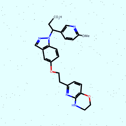 COc1ccc(C(CC(=O)O)n2ncc3cc(OCCc4ccc5c(n4)NCCO5)ccc32)cn1